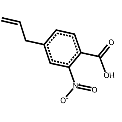 C=CCc1ccc(C(=O)O)c([N+](=O)[O-])c1